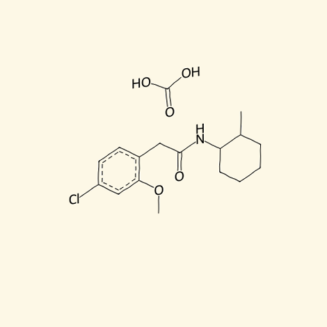 COc1cc(Cl)ccc1CC(=O)NC1CCCCC1C.O=C(O)O